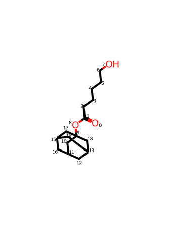 O=C(CCCCCO)OC12CC3CC(CC(C3)C1)C2